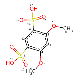 COc1cc(OC)c(S(=O)(=O)O)cc1S(=O)(=O)O